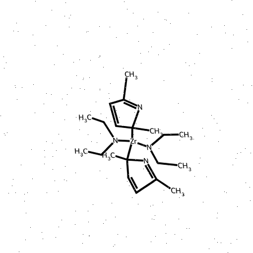 CC[N](CC)[Zr]([N](CC)CC)([C]1(C)C=CC(C)=N1)[C]1(C)C=CC(C)=N1